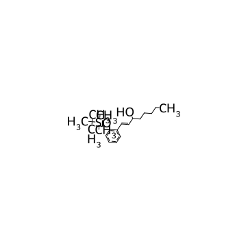 CCCCCC(O)C=Cc1ccccc1O[Si](C)(C)C(C)(C)C